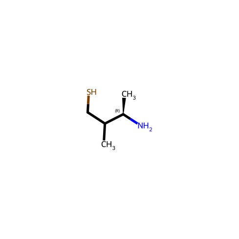 CC(CS)[C@@H](C)N